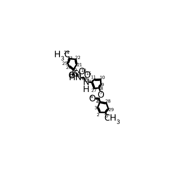 Cc1ccc(C(=O)Oc2cccc(NC(=O)NS(=O)(=O)c3ccc(C)cc3)c2)cc1